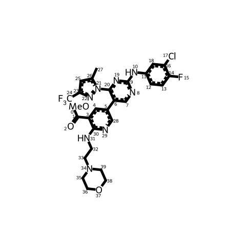 COC(=O)c1cc(-c2cnc(Nc3ccc(F)c(Cl)c3)nc2-n2nc(C(F)(F)F)cc2C)cnc1NCCN1CCOCC1